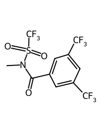 CN(C(=O)c1cc(C(F)(F)F)cc(C(F)(F)F)c1)S(=O)(=O)C(F)(F)F